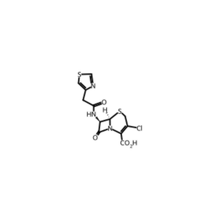 O=C(Cc1cscn1)N[C@@H]1C(=O)N2C(C(=O)O)=C(Cl)CS[C@H]12